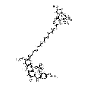 COc1ccc(Nc2nc(Nc3cc(OCCOCCOCCOCCOCC(=O)N[C@H](C(=O)N4C[C@H](O)C[C@H]4C)C(C)(C)C)c(OC)cc3C)ncc2Cl)c(NS(C)(=O)=O)c1